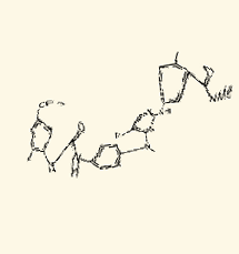 CNC(=O)c1cc(Nc2ncc(F)c(N(C)c3ccc(NC(=O)Nc4cc(C(F)(F)F)ccc4F)cc3)n2)ccc1C